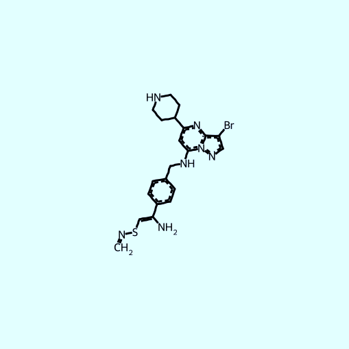 C=NS/C=C(\N)c1ccc(CNc2cc(C3CCNCC3)nc3c(Br)cnn23)cc1